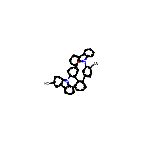 N#Cc1ccc(-n2c3ccccc3c3cc(C#N)ccc32)c(-c2ccccc2-c2ccc(C#N)c(-n3c4ccccc4c4ccccc43)c2)c1